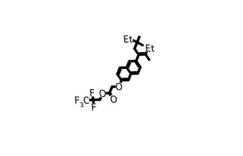 CC/C(C)=C(\CC(C)(C)CC)c1ccc2cc(OCC(=O)OCC(F)(F)C(F)(F)F)ccc2c1